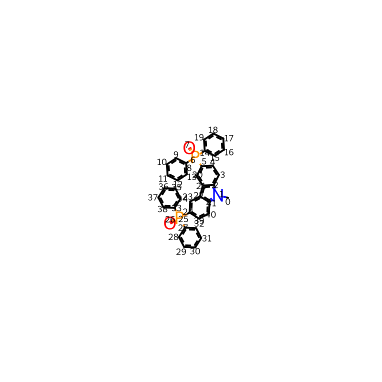 Cn1c2ccc(P(=O)(c3ccccc3)c3ccccc3)cc2c2cc(P(=O)(c3ccccc3)c3ccccc3)ccc21